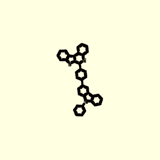 c1ccc(-n2c3ccccc3c3cc(-c4ccc(-c5nc6ccccc6c6c5sc5ccccc56)cc4)ccc32)cc1